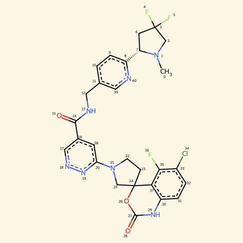 CN1CC(F)(F)C[C@H]1c1ccc(CNC(=O)c2cnnc(N3CCC4(C3)OC(=O)Nc3ccc(Cl)c(F)c34)c2)cn1